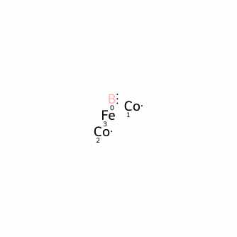 [B].[Co].[Co].[Fe]